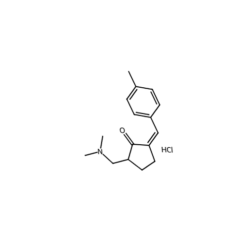 Cc1ccc(C=C2CCC(CN(C)C)C2=O)cc1.Cl